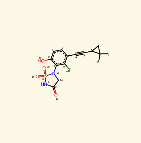 CC1(C)CC1C#Cc1ccc(O)c(N2CC(=O)NS2(=O)=O)c1F